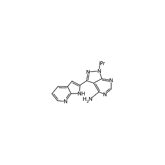 CC(C)n1nc(-c2cc3cccnc3[nH]2)c2c(N)ncnc21